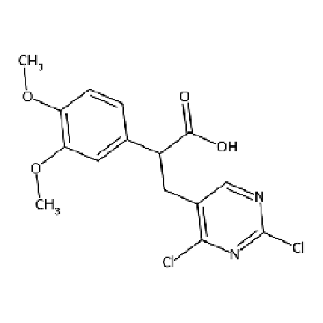 COc1ccc(C(Cc2cnc(Cl)nc2Cl)C(=O)O)cc1OC